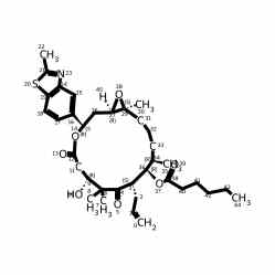 C=CC[C@@H]1C(=O)C(C)(C)[C@H](O)CC(=O)O[C@@H](c2ccc3sc(C)nc3c2)C[C@H]2O[C@@]2(C)CCC[C@@H](C)[C@H]1OC(=O)CCCCC